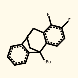 CC(C)(C)C12CCC(Sc3ccccc31)c1c2ccc(F)c1F